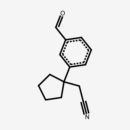 N#CCC1(c2cccc(C=O)c2)CCCC1